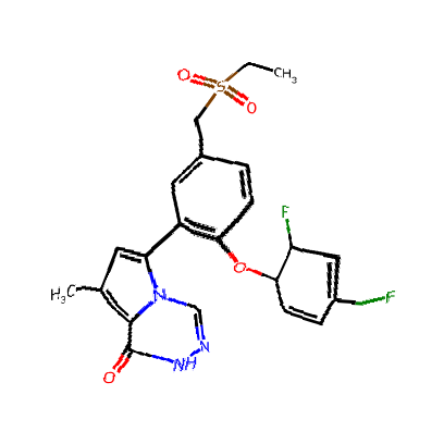 CCS(=O)(=O)Cc1ccc(OC2C=CC(F)=CC2F)c(-c2cc(C)c3c(=O)[nH]ncn23)c1